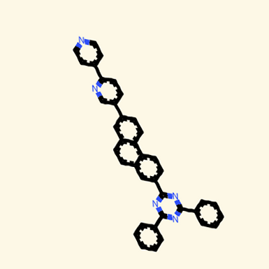 c1ccc(-c2nc(-c3ccccc3)nc(-c3ccc4c(ccc5cc(-c6ccc(-c7ccncc7)nc6)ccc54)c3)n2)cc1